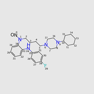 O=NN(CCCCN1CCN(C2CCCCC2)CC1)c1ccccc1Nc1ccc(F)cc1